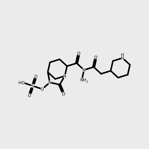 NN(C(=O)CC1CCCNC1)C(=O)C1CCC2CN1C(=O)N2OS(=O)(=O)O